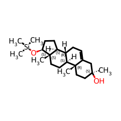 C[C@]1(O)CC[C@@]2(C)C(=CC[C@H]3[C@@H]4CC[C@H](O[Si](C)(C)C)[C@@]4(C)CC[C@@H]32)C1